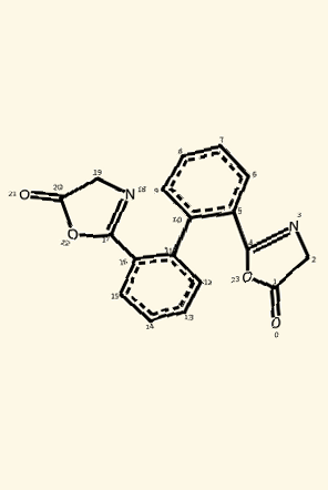 O=C1CN=C(c2ccccc2-c2ccccc2C2=NCC(=O)O2)O1